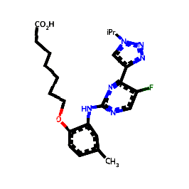 Cc1ccc(OCCCCCCC(=O)O)c(Nc2ncc(F)c(-c3cn(C(C)C)nn3)n2)c1